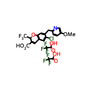 COc1ccc(Cc2cc3c(cc2Cl)C=C(C(=O)O)C(C(F)(F)F)O3)nc1.O=C(O)C(F)(F)F.O=C(O)C(F)(F)F